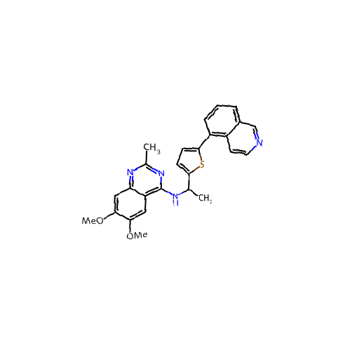 COc1cc2nc(C)nc(NC(C)c3ccc(-c4cccc5cnccc45)s3)c2cc1OC